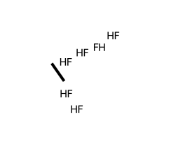 CC.F.F.F.F.F.F